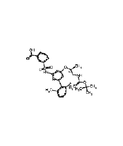 Cc1cccc(C)c1-c1cc(O[C@@H](C)CNC(=O)OC(C)(C)C)nc(NS(=O)(=O)c2cccc(C(=O)O)c2)n1